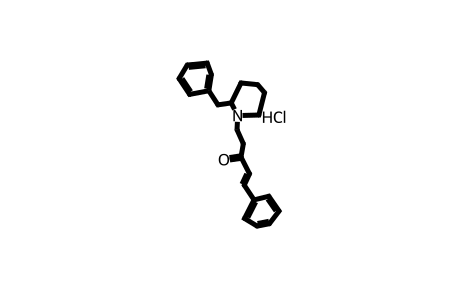 Cl.O=C(C=Cc1ccccc1)CCN1CCCCC1Cc1ccccc1